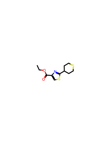 CCOC(=O)c1csc(C2CCSCC2)n1